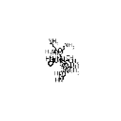 CC(C)[C@H](NC(=O)[C@H](Cc1c[nH]c2ccccc12)NC(=O)[C@H](CCCCN)NC(=O)[C@@H](N)CCCCN)C(=O)N[C@H](C(=O)N[C@@H](Cc1c[nH]cn1)C(=O)O)[C@@H](C)O